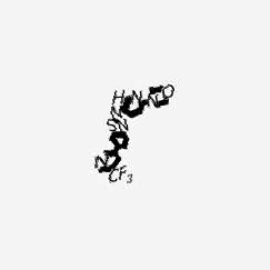 FC(F)(F)c1cncc(-c2ccc3nc(Nc4ccc(N5CCOCC5)nc4)sc3c2)c1